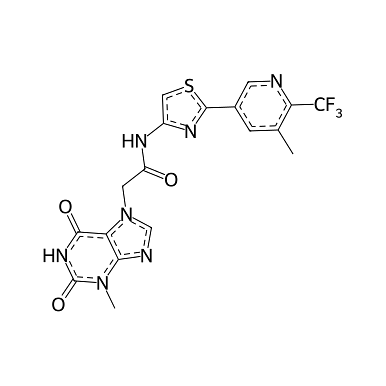 Cc1cc(-c2nc(NC(=O)Cn3cnc4c3c(=O)[nH]c(=O)n4C)cs2)cnc1C(F)(F)F